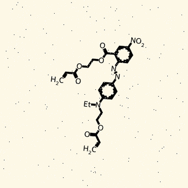 C=CC(=O)OCCOC(=O)c1cc([N+](=O)[O-])ccc1N=Nc1ccc(N(CC)CCOC(=O)C=C)cc1